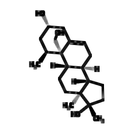 C[C@H]1C[C@H](O)CC2=CC[C@@H]3[C@H](CC[C@@]4(C)[C@H]3CC[C@]4(C)O)[C@]21CO